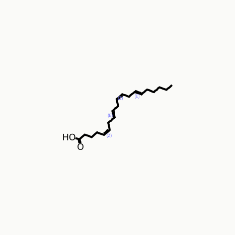 CCCCC/C=C/C/C=C\C/C=C/C/C=C\CCCC(=O)O